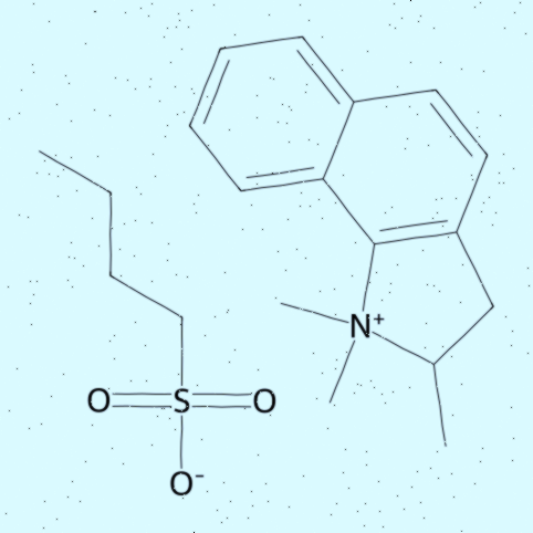 CC1Cc2ccc3ccccc3c2[N+]1(C)C.CCCCS(=O)(=O)[O-]